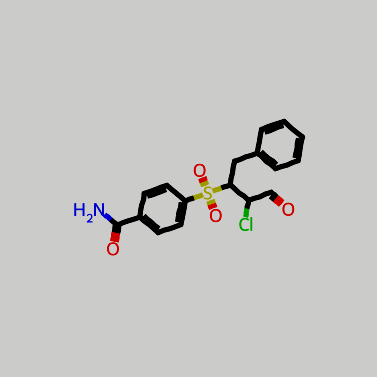 NC(=O)c1ccc(S(=O)(=O)C(Cc2ccccc2)C(Cl)C=O)cc1